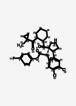 CCN(C(=O)Oc1ccc(F)cc1)[C@]1(C(=O)N2CCCCC2C(=O)C2(C)CC2)CNC[C@H]1c1ccc(Cl)c(Cl)c1